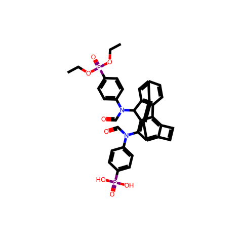 CCOP(=O)(OCC)c1ccc(N(C=O)C2c3cc4ccc3-c3c5c(c(c(N(C=O)c6ccc(P(=O)(O)O)cc6)c32)C=C4)C=C5)cc1